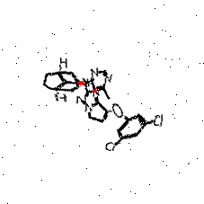 Cc1cc(N2C[C@H]3CC[C@@H](C2)C3Nc2nc3n(n2)CC[C@H]3Oc2cc(Cl)cc(Cl)c2)ncn1